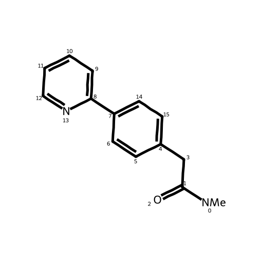 CNC(=O)Cc1ccc(-c2ccccn2)cc1